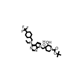 CCN(CC1CCC(C(F)(F)F)CC1)c1ncnc2c1ccn2C[C@]1(O)CCN(C(=O)OC(C)(C)C)C[C@H]1O